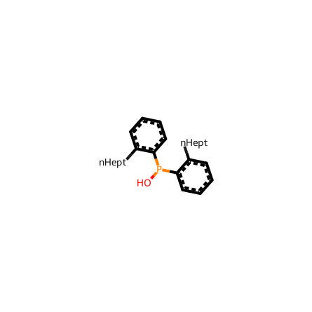 CCCCCCCc1ccccc1P(O)c1ccccc1CCCCCCC